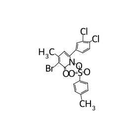 Cc1ccc(S(=O)(=O)On2c(-c3ccc(Cl)c(Cl)c3)cc(C)c(Br)c2=O)cc1